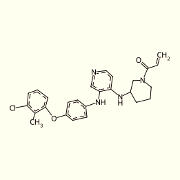 C=CC(=O)N1CCCC(Nc2ccncc2Nc2ccc(Oc3cccc(Cl)c3C)cc2)C1